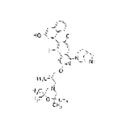 C[C@@H](COc1nc(N2CCC3CNC(C3)C2)c2cc(Cl)c(-c3cc(O)cc4ccccc34)c(F)c2n1)CN1CC(C)(C)OC(C)(C)C1